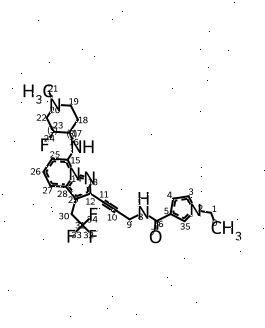 CCn1ccc(C(=O)NCC#Cc2nn3c(N[C@@H]4CCN(C)C[C@@H]4F)cccc3c2CC(F)(F)F)c1